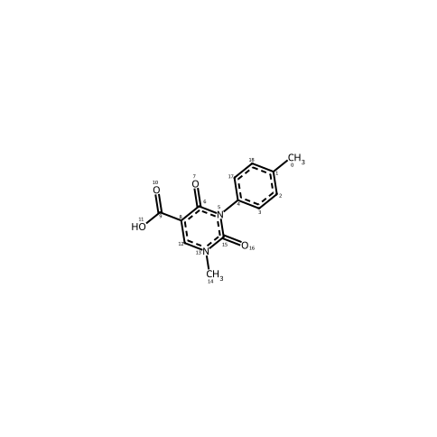 Cc1ccc(-n2c(=O)c(C(=O)O)cn(C)c2=O)cc1